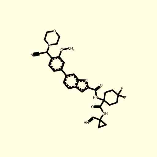 COc1cc(-c2ccc3cc(C(=O)NC4(C(=O)NC5(C=N)CC5)CCC(F)(F)CC4)oc3c2)ccc1C(C#N)N1CCOCC1